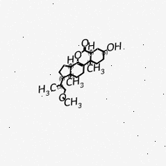 COC[C@@H](C)[C@H]1CC[C@H]2C3=C(CC[C@]12C)[C@@]1(C)CC[C@H](O)C[C@@H]1C(=O)O3